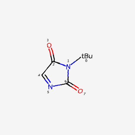 CC(C)(C)N1C(=O)C=NC1=O